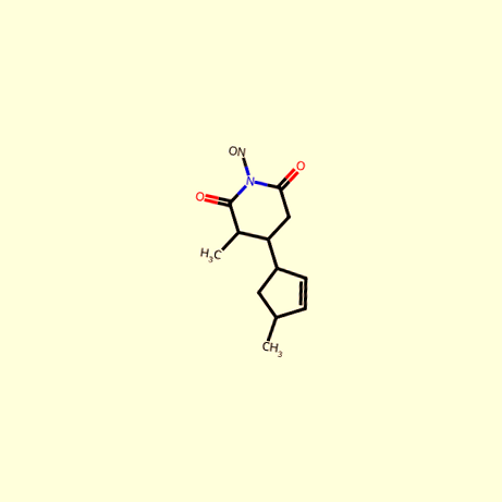 CC1C=CC(C2CC(=O)N(N=O)C(=O)C2C)C1